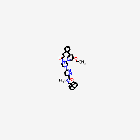 CCOc1cncc(-c2ccccc2CCC(=O)N2CCN(c3ccc(C(=O)N(C)CC45CC6CC(CC(C6)C4)C5)nn3)CC2)c1